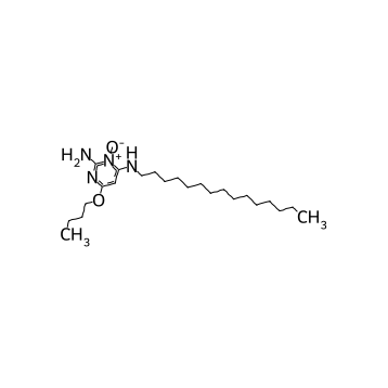 CCCCCCCCCCCCCCCNc1cc(OCCCC)nc(N)[n+]1[O-]